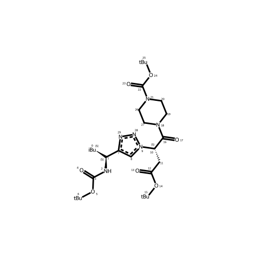 CC[C@H](C)[C@H](NC(=O)OC(C)(C)C)c1cn([C@@H](CC(=O)OC(C)(C)C)C(=O)N2CCN(C(=O)OC(C)(C)C)CC2)nn1